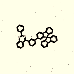 c1ccc(-c2nc(-c3cccc(-c4ccc5c(c4)C4(c6ccccc6-c6ccccc64)c4ccccc4-5)c3)c3ccccc3n2)cc1